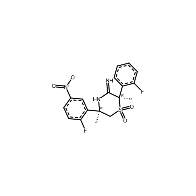 C[C@@]1(c2ccccc2F)C(=N)N[C@](C)(c2cc([N+](=O)[O-])ccc2F)CS1(=O)=O